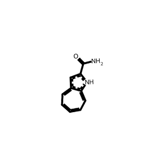 NC(=O)c1cc2c([nH]1)=CC=C=CC=2